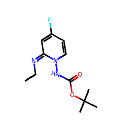 CC/N=c1/cc(F)ccn1NC(=O)OC(C)(C)C